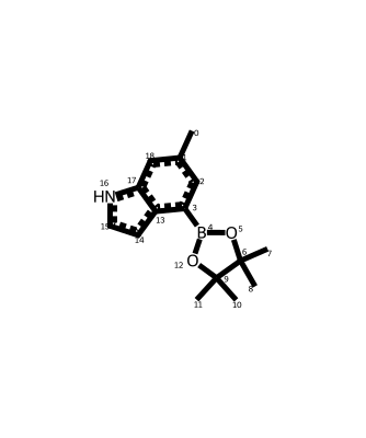 Cc1cc(B2OC(C)(C)C(C)(C)O2)c2cc[nH]c2c1